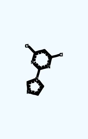 Clc1cc(Cl)nc(-n2ccnc2)n1